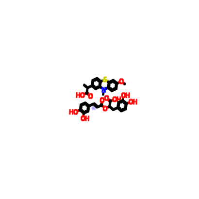 COc1ccc2c(c1)Sc1ccc(C(C)C(=O)O)cc1N2C.O=C(/C=C/c1ccc(O)c(O)c1)OC(Cc1ccc(O)c(O)c1)C(=O)O